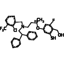 C[C@H](CCN(Cc1cccc(C(F)(F)F)c1Cl)CC(c1ccccc1)c1ccccc1)Oc1cc(F)c(CO)c(S)c1